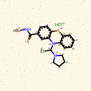 CCCCNC(=S)c1ccc2c(c1)N(C(CC)N1CCCC1)c1ccccc1S2.Cl